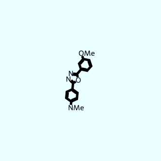 CNc1ccc(-c2nnc(-c3cccc(OC)c3)o2)cc1